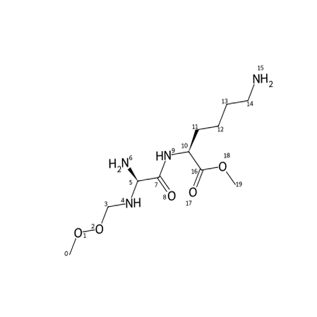 COOCN[C@@H](N)C(=O)N[C@@H](CCCCN)C(=O)OC